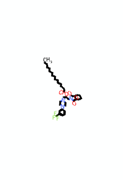 CCCCCCCCCCCCCCCC(=O)OC(CN1CCN(c2cccc(C(F)(F)F)c2)CC1)CN1C(=O)C2C3CCC(O3)C2C1=O